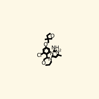 Cc1cc(N2CCCOCC2c2ccc(OCC3(C)CCOC3)cc2Cl)nc(N)n1